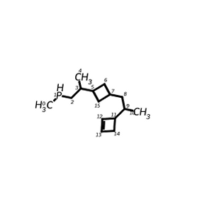 CPCC(C)C1CC(CC(C)C2C=CC2)C1